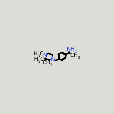 CC(N)c1ccc(CN2CCN(C)C(C)(C)C2)cc1